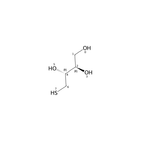 OC[C@@H](O)[C@@H](O)CS